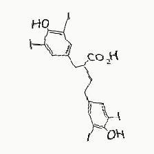 O=C(O)C(CCc1cc(I)c(O)c(I)c1)Cc1cc(I)c(O)c(I)c1